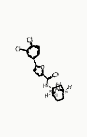 O=C(N[C@@H]1C[C@H]2CC[C@@H]1N2)c1ccc(-c2ccc(Cl)c(Cl)c2)o1